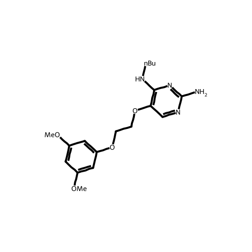 CCCCNc1nc(N)ncc1OCCOc1cc(OC)cc(OC)c1